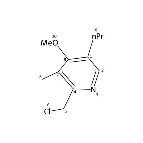 CCCc1cnc(CCl)c(C)c1OC